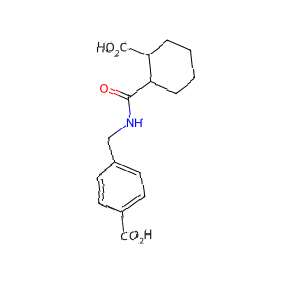 O=C(O)c1ccc(CNC(=O)C2CCCCC2C(=O)O)cc1